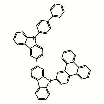 c1ccc(-c2ccc(-n3c4ccccc4c4cc(-c5ccc6c7ccccc7n(-c7ccc8c9ccccc9c9ccccc9c8c7)c6c5)ccc43)cc2)cc1